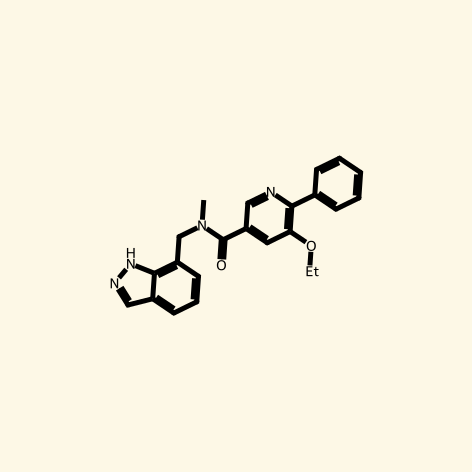 CCOc1cc(C(=O)N(C)Cc2cccc3cn[nH]c23)cnc1-c1ccccc1